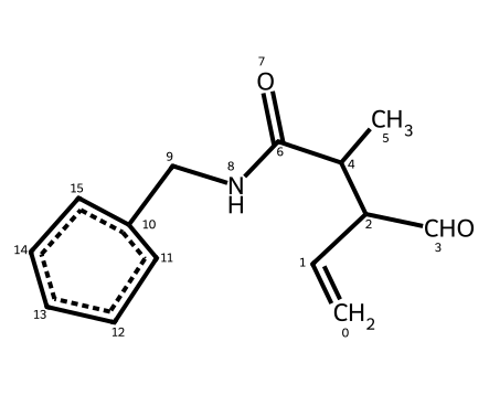 C=CC(C=O)C(C)C(=O)NCc1ccccc1